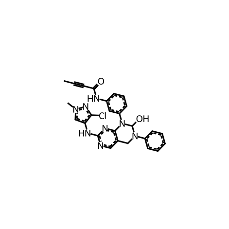 CC#CC(=O)Nc1cccc(N2c3nc(Nc4cn(C)nc4Cl)ncc3CN(c3ccccc3)C2O)c1